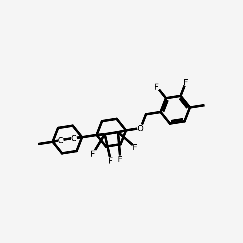 Cc1ccc(COC23CCC(C45CCC(C)(CC4)CC5)(CC2)C(F)(F)C3(F)F)c(F)c1F